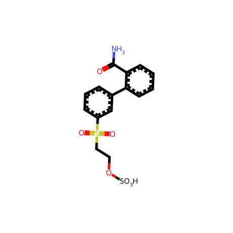 NC(=O)c1ccccc1-c1cccc(S(=O)(=O)CCOS(=O)(=O)O)c1